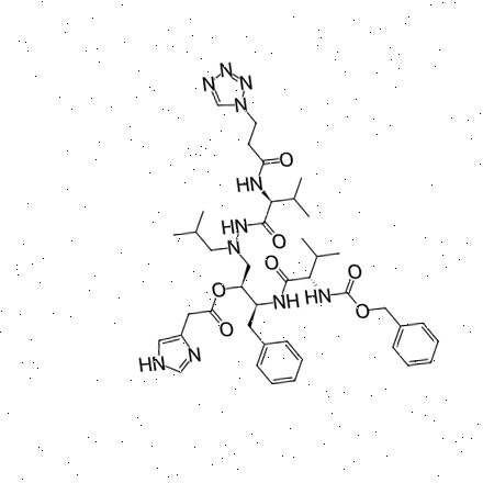 CC(C)CN(C[C@H](OC(=O)Cc1c[nH]cn1)[C@H](Cc1ccccc1)NC(=O)[C@@H](NC(=O)OCc1ccccc1)C(C)C)NC(=O)[C@@H](NC(=O)CCn1cnnn1)C(C)C